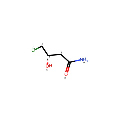 NC(=O)C[C@H](O)CCl